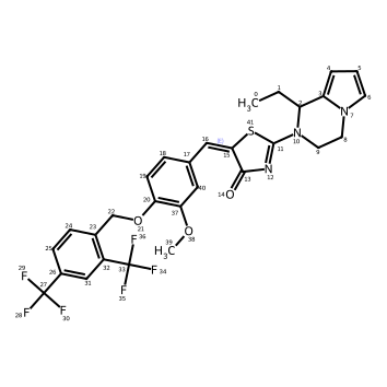 CCC1c2cccn2CCN1C1=NC(=O)/C(=C\c2ccc(OCc3ccc(C(F)(F)F)cc3C(F)(F)F)c(OC)c2)S1